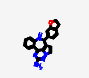 Nc1nc2c3c(ccn3n1)C(c1ccc3c(c1)OCC3)Nc1ccccc1-2